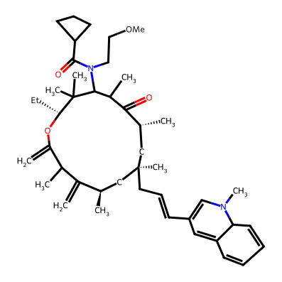 C=C1O[C@H](CC)C(C)(C)C(N(CCOC)C(=O)C2CCC2)C(C)C(=O)[C@H](C)C[C@@](C)(C/C=C/C2=CN(C)C3C=CC=CC3=C2)C[C@@H](C)C(=C)C1C